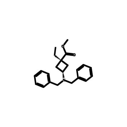 CC[C@]1(C(=O)OC)C[C@H](N(Cc2ccccc2)Cc2ccccc2)C1